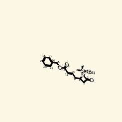 CC(C)(C)[Si](C)(C)N1C(=O)CC1CC=CC(=O)OCc1ccccc1